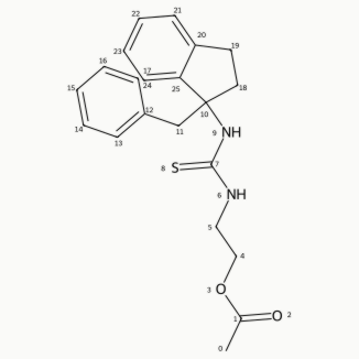 CC(=O)OCCNC(=S)NC1(Cc2ccccc2)CCc2ccccc21